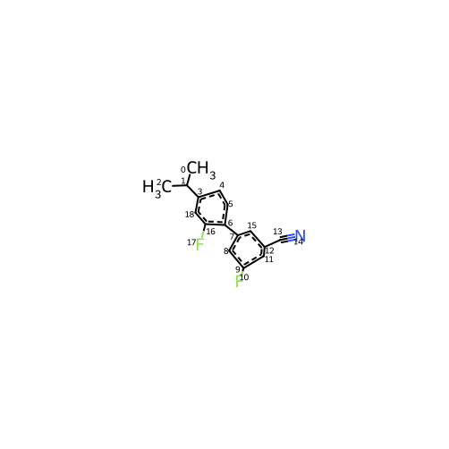 CC(C)c1ccc(-c2cc(F)cc(C#N)c2)c(F)c1